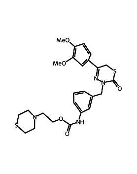 COc1ccc(C2=NN(Cc3cccc(NC(=O)OCCN4CCSCC4)c3)C(=O)SC2)cc1OC